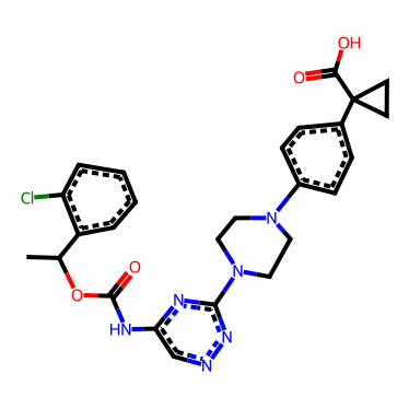 CC(OC(=O)Nc1cnnc(N2CCN(c3ccc(C4(C(=O)O)CC4)cc3)CC2)n1)c1ccccc1Cl